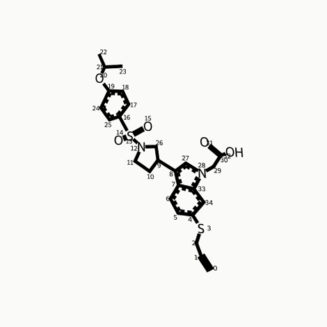 C#CCSc1ccc2c(C3CCN(S(=O)(=O)c4ccc(OC(C)C)cc4)C3)cn(CC(=O)O)c2c1